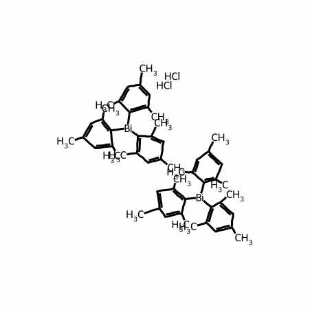 Cc1cc(C)[c]([Bi]([c]2c(C)cc(C)cc2C)[c]2c(C)cc(C)cc2C)c(C)c1.Cc1cc(C)[c]([Bi]([c]2c(C)cc(C)cc2C)[c]2c(C)cc(C)cc2C)c(C)c1.Cl.Cl